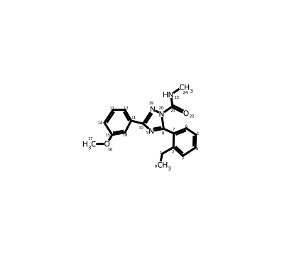 CCc1ccccc1-c1nc(-c2cccc(OC)c2)nn1C(=O)NC